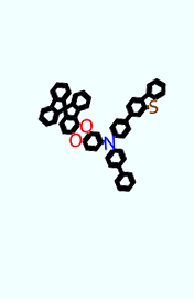 c1ccc(-c2ccc(N(c3ccc(-c4ccc5c(c4)sc4ccccc45)cc3)c3ccc4c(c3)Oc3c(ccc5c3-c3ccccc3C53c5ccccc5-c5ccccc53)O4)cc2)cc1